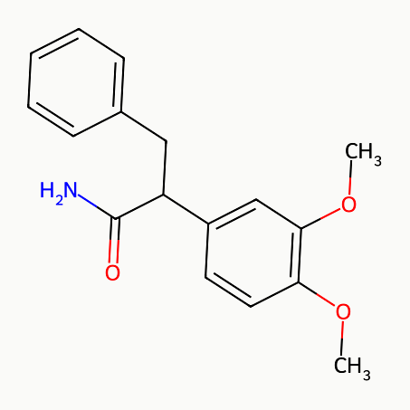 COc1ccc(C(Cc2ccccc2)C(N)=O)cc1OC